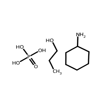 CCCO.NC1CCCCC1.O=P(O)(O)O